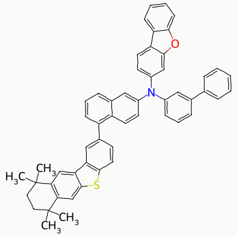 CC1(C)CCC(C)(C)c2cc3c(cc21)sc1ccc(-c2cccc4cc(N(c5cccc(-c6ccccc6)c5)c5ccc6c(c5)oc5ccccc56)ccc24)cc13